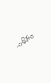 C/C=C(\NC(C)(C)c1ccccc1)c1cccc2c1cnn2-c1ccc(F)cc1